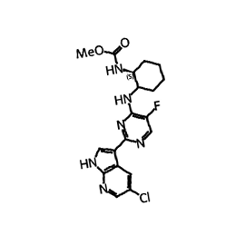 COC(=O)N[C@H]1CCCCC1Nc1nc(-c2c[nH]c3ncc(Cl)cc23)ncc1F